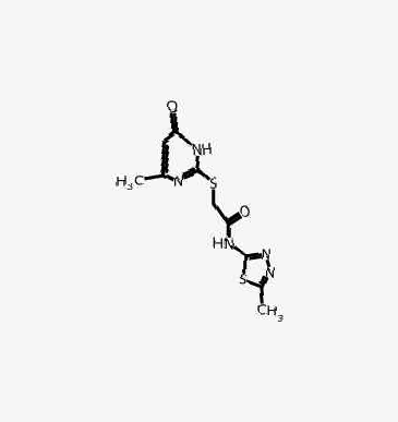 Cc1cc(=O)[nH]c(SCC(=O)Nc2nnc(C)s2)n1